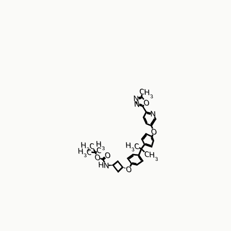 Cc1nnc(-c2ccc(Oc3ccc(C(C)(C)c4ccc(O[C@H]5C[C@H](NC(=O)OC(C)(C)C)C5)cc4)cc3)cn2)o1